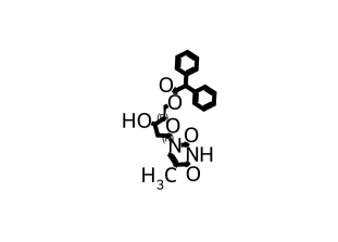 Cc1cn([C@H]2CC(O)[C@@H](COC(=O)C(c3ccccc3)c3ccccc3)O2)c(=O)[nH]c1=O